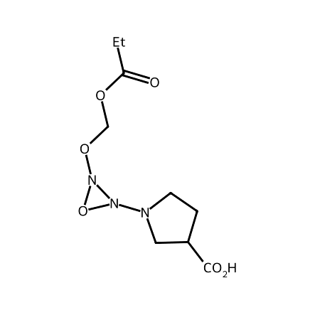 CCC(=O)OCOn1on1N1CCC(C(=O)O)C1